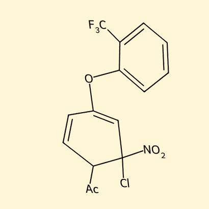 CC(=O)C1C=CC(Oc2ccccc2C(F)(F)F)=CC1(Cl)[N+](=O)[O-]